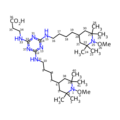 CON1C(C)(C)CC(CCCCNc2nc(NCCCCC3CC(C)(C)N(OC)C(C)(C)C3)nc(NCCC(=O)O)n2)CC1(C)C